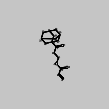 C=CC(=O)OCCC(=O)C12CC3CC(CC(C3)C1)C2